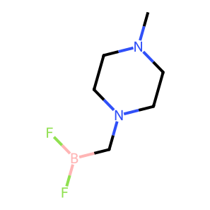 CN1CCN(CB(F)F)CC1